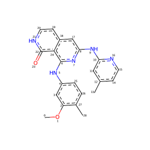 COc1cc(Nc2nc(Nc3cc(C)ccn3)cc3cc[nH]c(=O)c23)ccc1C